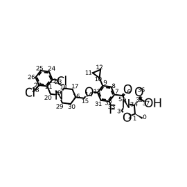 C[C@H]1OCN(C(=O)c2cc(C3CC3)c(OCC3CCN(Cc4c(Cl)cccc4Cl)CC3)cc2F)[C@@H]1C(=O)O